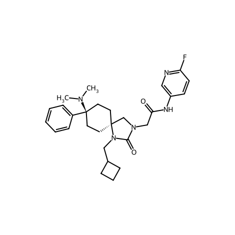 CN(C)[C@]1(c2ccccc2)CC[C@]2(CC1)CN(CC(=O)Nc1ccc(F)nc1)C(=O)N2CC1CCC1